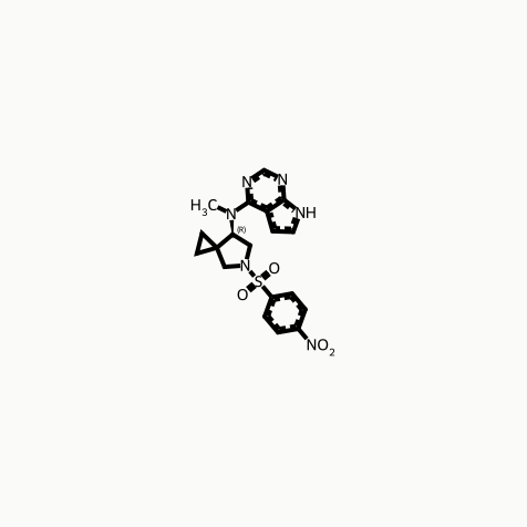 CN(c1ncnc2[nH]ccc12)[C@H]1CN(S(=O)(=O)c2ccc([N+](=O)[O-])cc2)CC12CC2